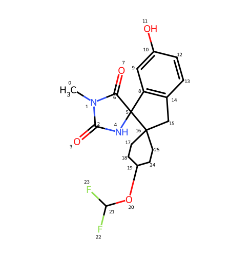 CN1C(=O)NC2(C1=O)c1cc(O)ccc1CC21CCC(OC(F)F)CC1